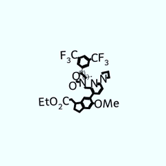 CCOC(=O)CC1CCc2cc(OC)c(-c3ccc(N4CCC4)nc3CN3C(=O)O[C@H](c4cc(C(F)(F)F)cc(C(F)(F)F)c4)[C@@H]3C)cc21